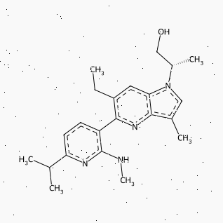 CCc1cc2c(nc1-c1ccc(C(C)C)nc1NC)c(C)cn2[C@@H](C)CO